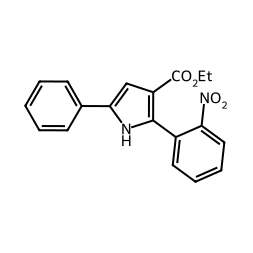 CCOC(=O)c1cc(-c2ccccc2)[nH]c1-c1ccccc1[N+](=O)[O-]